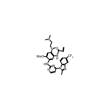 C=CC(=O)Nc1cc(Nc2nccc(-n3c(C)nc4cc(C(F)(F)F)ccc43)n2)c(OC)cc1N(C)CCN(C)C